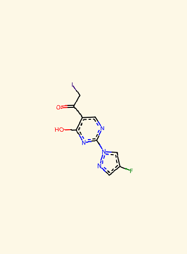 O=C(CI)c1cnc(-n2cc(F)cn2)nc1O